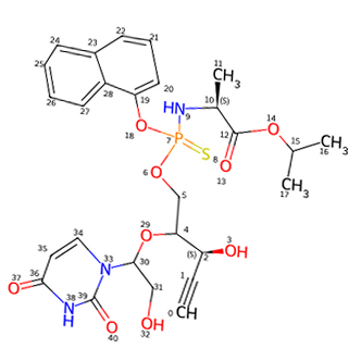 C#C[C@H](O)C(COP(=S)(N[C@@H](C)C(=O)OC(C)C)Oc1cccc2ccccc12)OC(CO)n1ccc(=O)[nH]c1=O